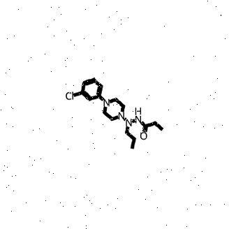 CCCN(NC(=O)CC)N1CCN(c2cccc(Cl)c2)CC1